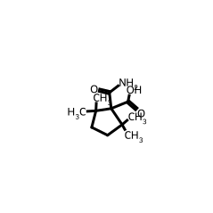 CC1(C)CCC(C)(C)C1(C(N)=O)C(=O)O